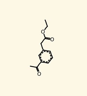 CCOC(=O)Cc1cccc(C(C)=O)c1